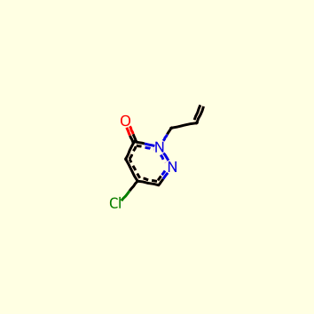 C=CCn1ncc(Cl)cc1=O